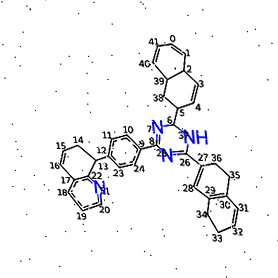 C1=CC2C=CC(C3N=C(c4ccc(C5CC=Cc6cccnc65)cc4)N=C(C4=CC5=C(C=CCC5)CC4)N3)CC2C=C1